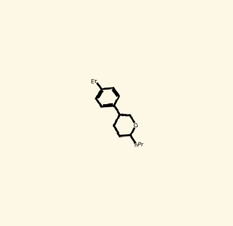 CCCC1CCC(c2ccc(CC)cc2)CO1